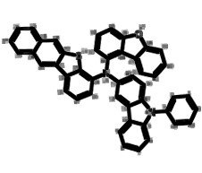 c1ccc(-n2c3ccccc3c3cc(N(c4cccc5c4sc4cc6ccccc6cc45)c4cccc5oc6ccccc6c45)ccc32)cc1